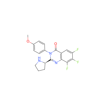 COc1ccc(-n2c([C@H]3CCCN3)nc3c(F)c(F)c(F)cc3c2=O)cc1